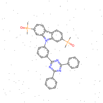 CP(C)(=O)c1ccc2c3ccc(P(C)(C)=O)cc3n(-c3cccc(-c4nc(-c5ccccc5)nc(-c5ccccc5)n4)c3)c2c1